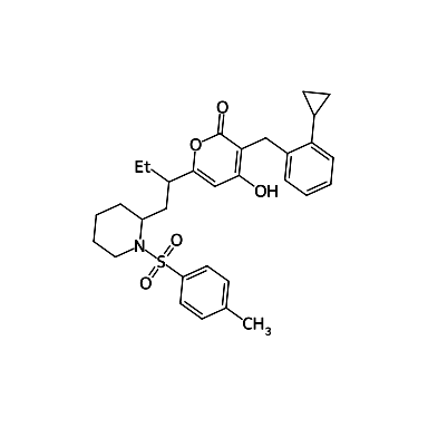 CCC(CC1CCCCN1S(=O)(=O)c1ccc(C)cc1)c1cc(O)c(Cc2ccccc2C2CC2)c(=O)o1